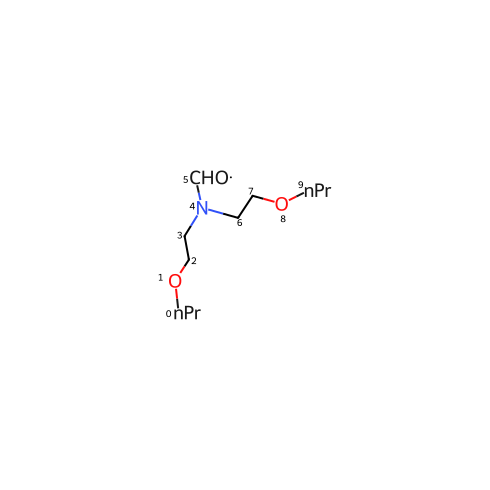 CCCOCCN([C]=O)CCOCCC